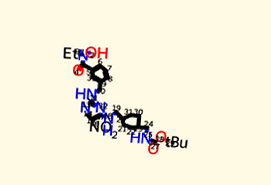 CCN(O)C(=O)c1cccc(CNc2ncc([N+](=O)[O-])c(NCC3CCC(CNC(=O)OC(C)(C)C)CC3)n2)c1